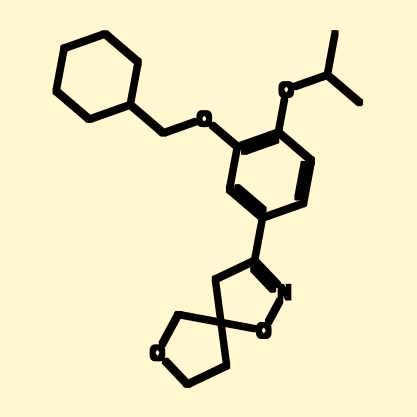 CC(C)Oc1ccc(C2=NOC3(CCOC3)C2)cc1OCC1CCCCC1